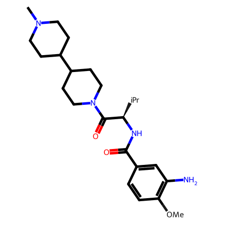 COc1ccc(C(=O)N[C@@H](C(=O)N2CCC(C3CCN(C)CC3)CC2)C(C)C)cc1N